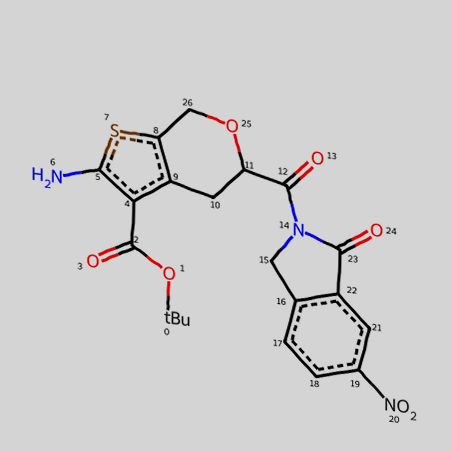 CC(C)(C)OC(=O)c1c(N)sc2c1CC(C(=O)N1Cc3ccc([N+](=O)[O-])cc3C1=O)OC2